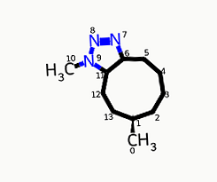 C[C@@H]1CCCCC2N=NN(C)C2CC1